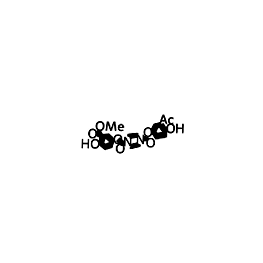 COC(=O)c1cc(OC(=O)N2CCN(C(=O)Oc3ccc(O)c(C(C)=O)c3)CC2)ccc1O